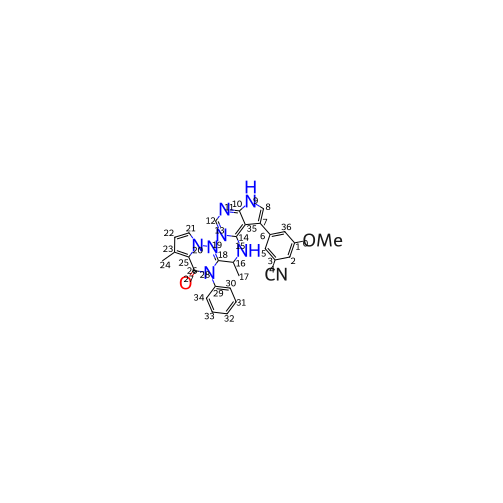 COc1cc(C#N)cc(-c2c[nH]c3ncnc(NC(C)c4nn5ccc(C)c5c(=O)n4-c4ccccc4)c23)c1